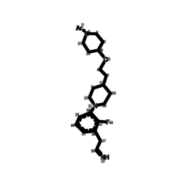 CC(=O)N1CCC(OCCC2CCN(c3cccc(CC=N)c3F)CC2)CC1